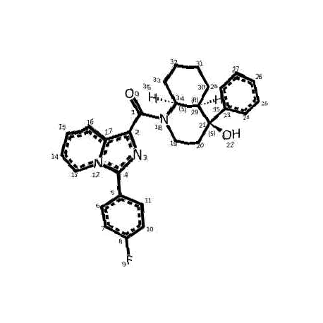 O=C(c1nc(-c2ccc(F)cc2)n2ccccc12)N1CC[C@@](O)(c2ccccc2)[C@@H]2CCCC[C@@H]21